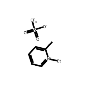 CC[n+]1ccccc1C.O=S(=O)([O-])C(F)(F)F